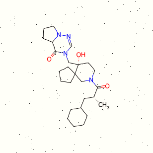 C[C@H](CC1CCCCC1)C(=O)N1CC[C@](O)(CN2C=NN3CCCC3C2=O)C2(CCCC2)C1